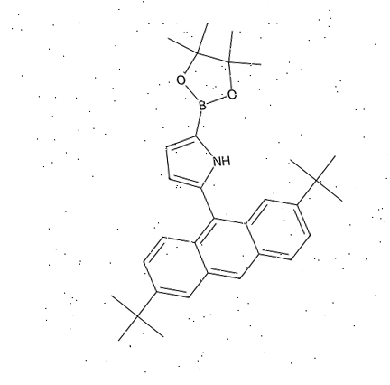 CC(C)(C)c1ccc2c(-c3ccc(B4OC(C)(C)C(C)(C)O4)[nH]3)c3cc(C(C)(C)C)ccc3cc2c1